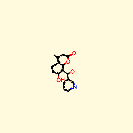 Cc1cc(=O)oc2c(C(=O)c3cccnc3)c(O)ccc12